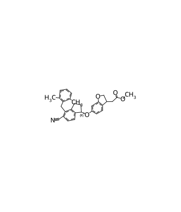 COC(=O)CC1COc2cc(O[C@@H]3CCc4c3ccc(C#N)c4Cc3c(C)cccc3C)ccc21